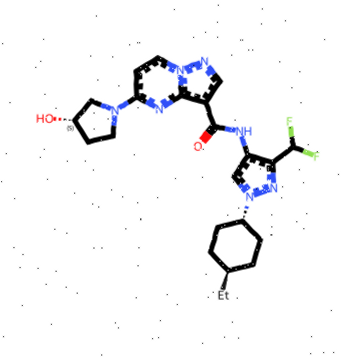 CC[C@H]1CC[C@H](n2cc(NC(=O)c3cnn4ccc(N5CC[C@H](O)C5)nc34)c(C(F)F)n2)CC1